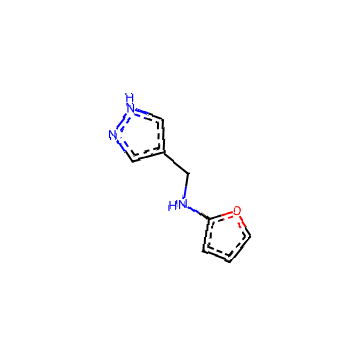 c1coc(NCc2cn[nH]c2)c1